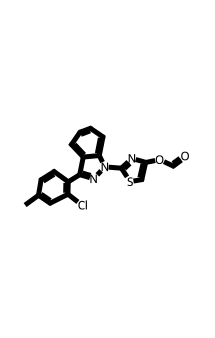 Cc1ccc(-c2nn(-c3nc(OC=O)cs3)c3ccccc23)c(Cl)c1